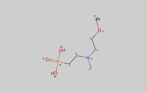 CC(C)OCCN(C)CCP(=O)(O)O